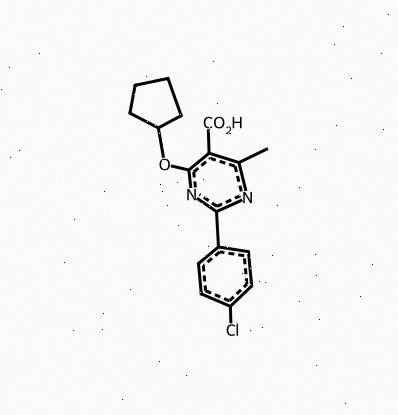 Cc1nc(-c2ccc(Cl)cc2)nc(OC2CCCC2)c1C(=O)O